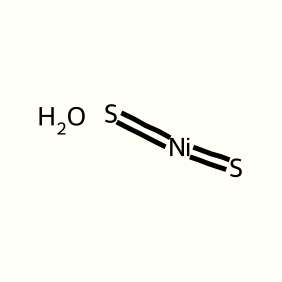 O.[S]=[Ni]=[S]